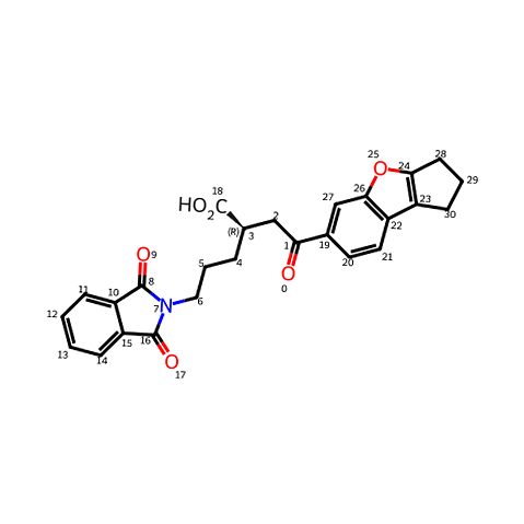 O=C(C[C@@H](CCCN1C(=O)c2ccccc2C1=O)C(=O)O)c1ccc2c3c(oc2c1)CCC3